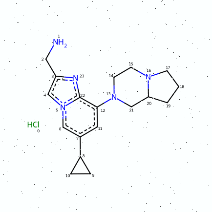 Cl.NCc1cn2cc(C3CC3)cc(N3CCN4CCCC4C3)c2n1